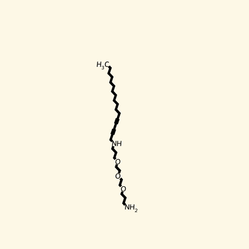 CCCCCCCCCCCCC#CC#CCNCCCOCCOCCOCCCN